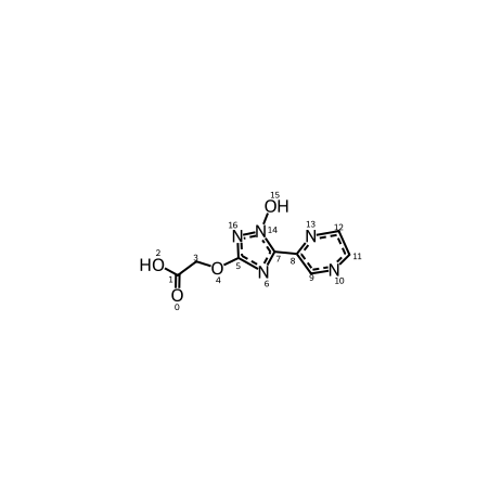 O=C(O)COc1nc(-c2cnccn2)n(O)n1